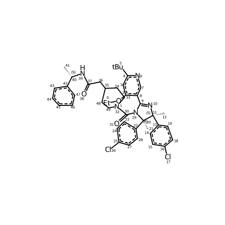 CCOc1cc(C(C)(C)C)ncc1C1=N[C@@](C)(c2ccc(Cl)cc2)[C@@](C)(c2ccc(Cl)cc2)N1C(=O)N1CCC(CC(=O)N[C@@H](C)c2ccccc2)CC1